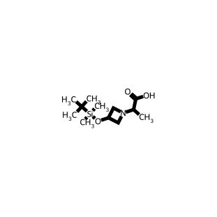 CC(C(=O)O)N1CC(O[Si](C)(C)C(C)(C)C)C1